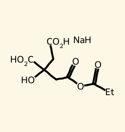 CCC(=O)OC(=O)CC(O)(CC(=O)O)C(=O)O.[NaH]